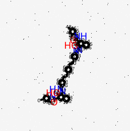 Cc1ccc(NC(=O)c2cc3ccccc3c(N=Nc3ccc(C=Cc4ccc(C=Cc5ccc(N=Nc6c(O)c(C(=O)Nc7ccc(C)cc7C)cc7ccccc67)cc5)cc4)cc3)c2O)c(C)c1